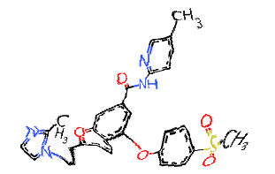 Cc1ccc(NC(=O)c2cc(Oc3ccc(S(C)(=O)=O)cc3)c3cc(Cn4ccnc4C)oc3c2)nc1